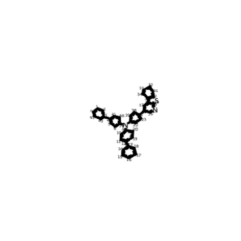 c1ccc(-c2ccc(N(c3ccc(-c4ccccc4)cc3)c3ccc(-c4cnc5sc6ccccc6c5c4)cc3)cc2)cc1